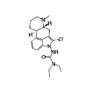 CCN(CC)C(=O)Nn1c(Cl)c2c3c(cccc31)[C@H]1CCCN(C)[C@@H]1C2